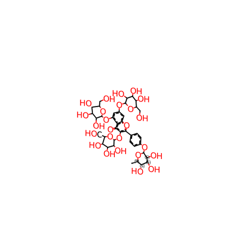 C[C@H]1OC(Oc2ccc(-c3oc4cc(OC5OC(CO)C(O)C(O)C5O)cc(OC5OC(CO)C(O)C(O)C5O)c4c(=O)c3OC3OC(CO)C(O)C(O)C3O)cc2)[C@@H](O)[C@@H](O)[C@@H]1O